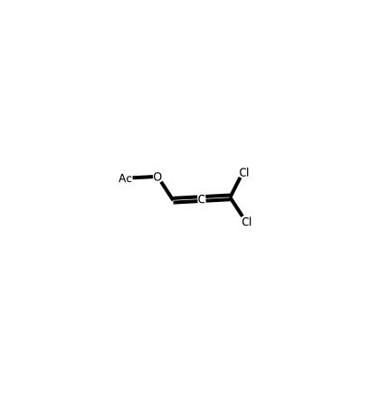 CC(=O)OC=C=C(Cl)Cl